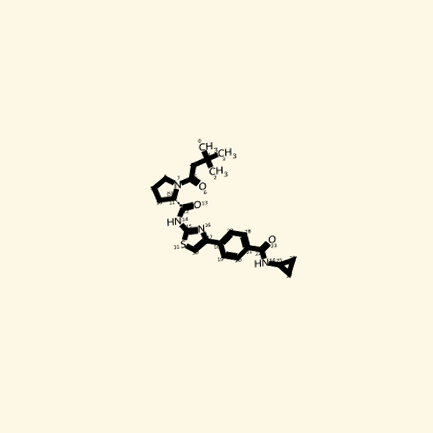 CC(C)(C)CC(=O)N1CCC[C@H]1C(=O)Nc1nc(-c2ccc(C(=O)NC3CC3)cc2)cs1